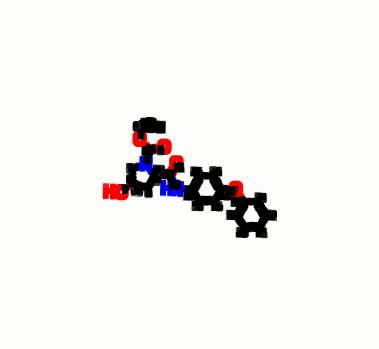 CC(C)(C)OC(=O)N1C[C@@H](O)C[C@H]1C(=O)Nc1ccc(Oc2ccccc2)cc1